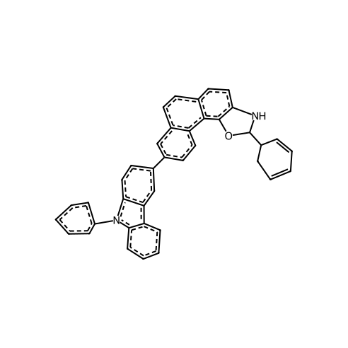 C1=CCC(C2Nc3ccc4ccc5cc(-c6ccc7c(c6)c6ccccc6n7-c6ccccc6)ccc5c4c3O2)C=C1